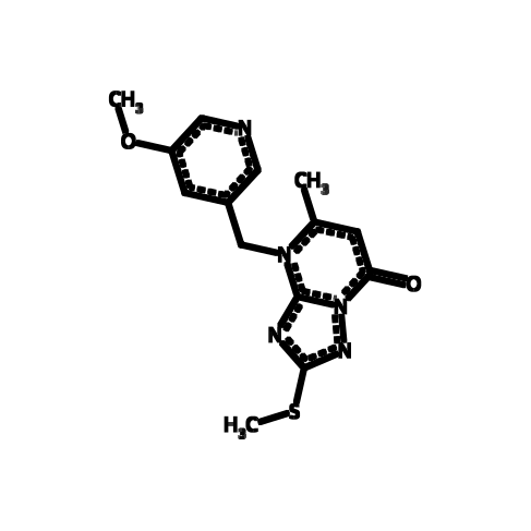 COc1cncc(Cn2c(C)cc(=O)n3nc(SC)nc23)c1